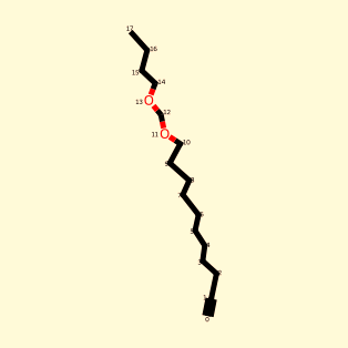 C#CCCCCCCCCCOCOCCCC